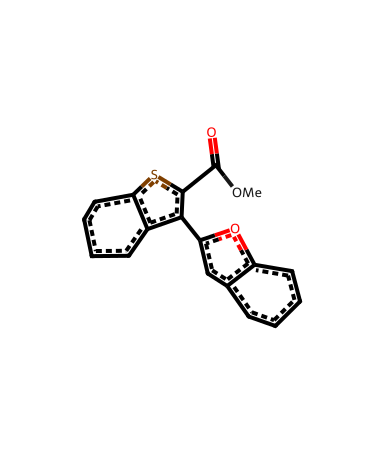 COC(=O)c1sc2ccccc2c1-c1cc2ccccc2o1